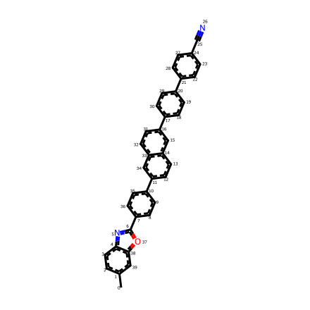 Cc1ccc2nc(-c3ccc(-c4ccc5cc(-c6ccc(-c7ccc(C#N)cc7)cc6)ccc5c4)cc3)oc2c1